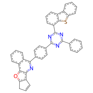 C1=Cc2c(oc3c2nc(-c2ccc(-c4nc(-c5ccccc5)nc(-c5cccc6c5sc5ccccc56)n4)cc2)c2ccccc23)C1